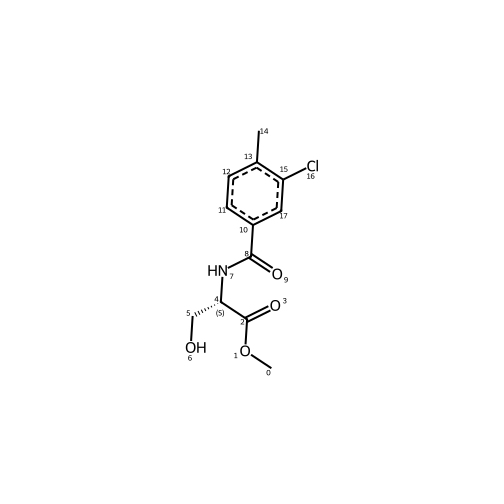 COC(=O)[C@H](CO)NC(=O)c1ccc(C)c(Cl)c1